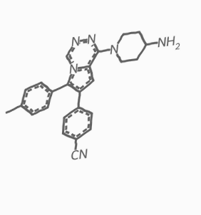 Cc1ccc(-c2c(-c3ccc(C#N)cc3)cc3c(N4CCC(N)CC4)nncn23)cc1